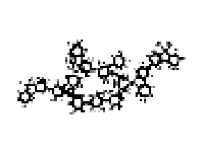 CC1(C)c2ccccc2-c2cc(-c3ccc4c(c3)c3ccccc3n4-c3cccc(-c4ccc(-c5cccc(-c6cc(-n7c8ccccc8c8cc(-c9ccc%10c(c9)-c9ccccc9C%10(C)C)ccc87)nc(-n7c8ccccc8c8cc(-c9ccc%10c(c9)-c9ccccc9C%10(C)C)ccc87)n6)c5)cc4)c3)ccc21